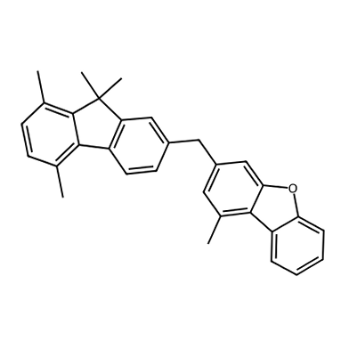 Cc1ccc(C)c2c1-c1ccc(Cc3cc(C)c4c(c3)oc3ccccc34)cc1C2(C)C